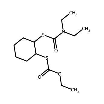 CCOC(=O)SC1CCCCC1SC(=O)N(CC)CC